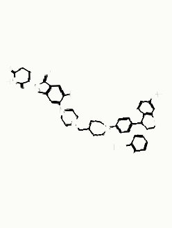 Cc1cc([C@H]2COc3cc(O)ccc3C2c2ccc(N3CCC(CN4CCN(c5cc6c(cc5F)C(=O)N([C@H]5CCC(=O)NC5=O)C6)CC4)CC3)cc2)ccc1F